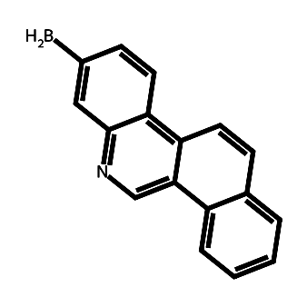 Bc1ccc2c(c1)ncc1c3ccccc3ccc21